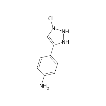 Nc1ccc(C2=CN(Cl)NN2)cc1